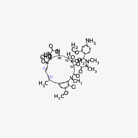 COc1cc(N)ccc1C(=O)N(C)[C@@H](C)C(=O)O[C@H]1CC(=O)N(C)c2cc(cc(OC)c2Cl)C/C(C)=C/C=C/[C@@H](OC)[C@@]2(O)C[C@@H](C[C@@H]3O[C@@]13C)OC(=O)N2